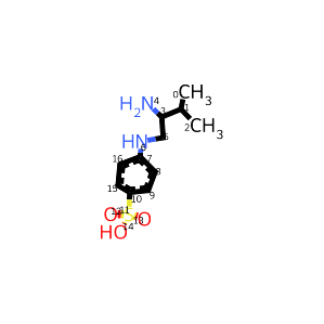 CC(C)C(N)CNc1ccc(S(=O)(=O)O)cc1